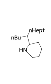 CCCCCCCC(CCCC)C1CCCCN1